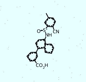 Cc1ccc(C#N)c([S+]([O-])Nc2ccc(-c3cccc(C(=O)O)c3)c3ccccc23)c1